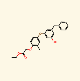 CCOC(=O)COc1ccc(Sc2cc(O)cc(Cc3ccccc3)c2)cc1C